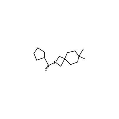 CC1(C)CCC2(CC1)CN(C(=O)C1CCCC1)C2